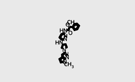 COC(C(=O)Nc1ccc(NC2CCN(c3cc4ccn(C)c4nn3)C2)nn1)c1ccccc1